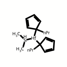 CCC[C]1([Hf]([SiH](C)C)[C]2(CCC)C=CC=C2)C=CC=C1